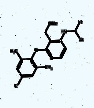 CCC(CC)Nc1ccnc(Oc2c(C)cc(Cl)cc2C)c1COC